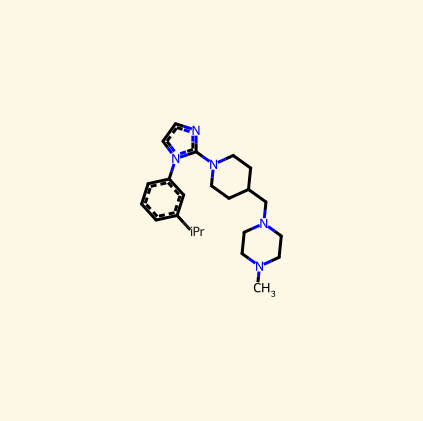 CC(C)c1cccc(-n2ccnc2N2CCC(CN3CCN(C)CC3)CC2)c1